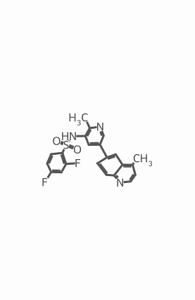 Cc1ncc(-c2ccc3nccc(C)c3c2)cc1NS(=O)(=O)c1ccc(F)cc1F